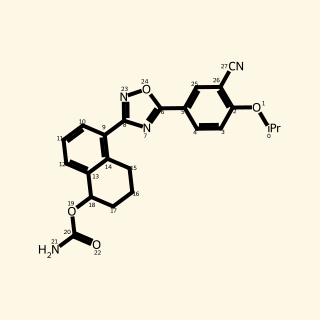 CC(C)Oc1ccc(-c2nc(-c3cccc4c3CCCC4OC(N)=O)no2)cc1C#N